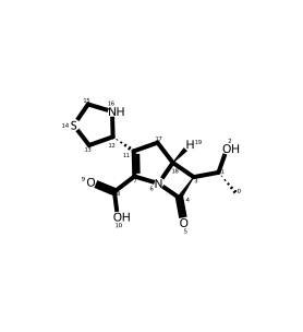 C[C@@H](O)[C@H]1C(=O)N2C(C(=O)O)=C([C@@H]3CSCN3)C[C@H]12